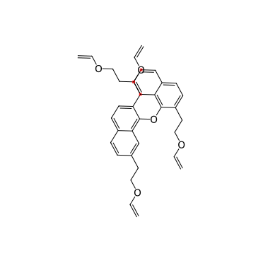 C=COCCc1ccc2ccc(CCOC=C)c(Oc3c(CCOC=C)ccc4ccc(CCOC=C)cc34)c2c1